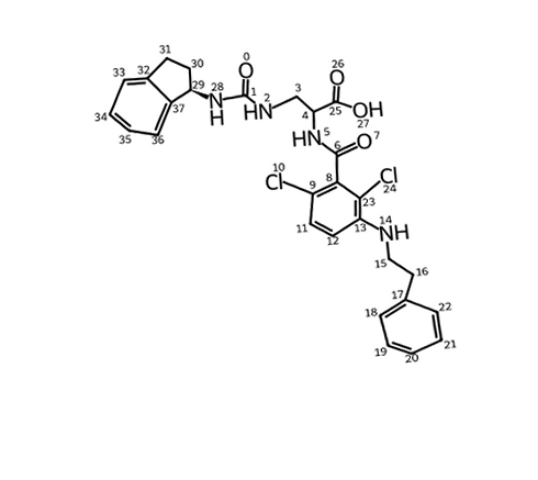 O=C(NCC(NC(=O)c1c(Cl)ccc(NCCc2ccccc2)c1Cl)C(=O)O)N[C@@H]1CCc2ccccc21